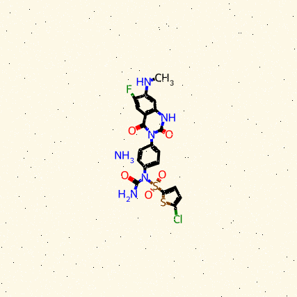 CNc1cc2[nH]c(=O)n(-c3ccc(N(C(N)=O)S(=O)(=O)c4ccc(Cl)s4)cc3)c(=O)c2cc1F.N